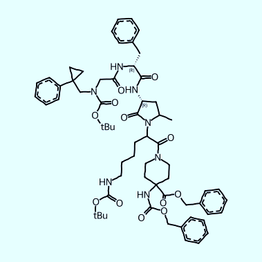 CC1C[C@@H](NC(=O)[C@@H](Cc2ccccc2)NC(=O)CN(CC2(c3ccccc3)CC2)C(=O)OC(C)(C)C)C(=O)N1C(CCCCNC(=O)OC(C)(C)C)C(=O)N1CCC(NC(=O)OCc2ccccc2)(C(=O)OCc2ccccc2)CC1